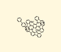 N#Cc1c(-n2c3ccccc3c3ccccc32)c(-n2c3ccccc3c3ccccc32)c(C#N)c(-n2c3cc(-c4ccc(-c5ccccc5)cc4)ccc3c3ccc4c5ccccc5sc4c32)c1-n1c2ccccc2c2ccccc21